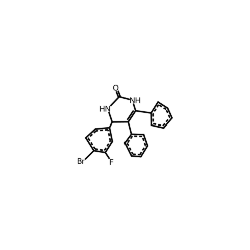 O=C1NC(c2ccccc2)=C(c2ccccc2)C(c2ccc(Br)c(F)c2)N1